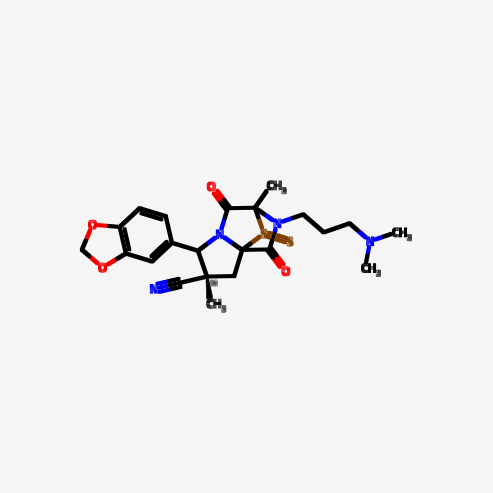 CN(C)CCCN1C(=O)C23C[C@](C)(C#N)C(c4ccc5c(c4)OCO5)N2C(=O)C1(C)S3=S